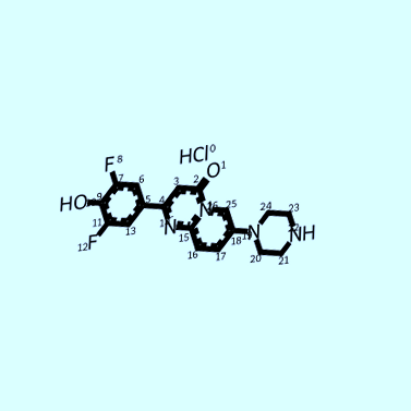 Cl.O=c1cc(-c2cc(F)c(O)c(F)c2)nc2ccc(N3CCNCC3)cn12